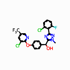 Cn1nc(-c2c(F)cccc2Cl)nc1C(O)c1ccc(Oc2ncc(C(F)(F)F)cc2Cl)cc1